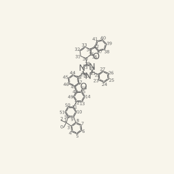 CC1(C)c2ccccc2-c2cc(-c3ccc4oc5c(-c6nc(-c7ccccc7)nc(C7CC=Cc8c7oc7ccccc87)n6)cccc5c4c3)ccc21